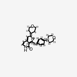 O=c1[nH]ccc2cc(C3CCOCC3)nc(Nc3ccc(N4CCOCC4)cc3)c12